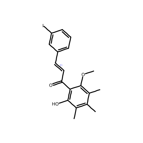 COc1c(C)c(C)c(C)c(O)c1C(=O)/C=C/c1cccc(I)c1